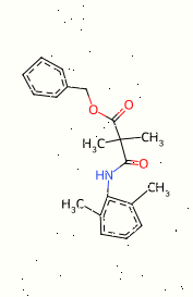 Cc1cccc(C)c1NC(=O)C(C)(C)C(=O)OCc1ccccc1